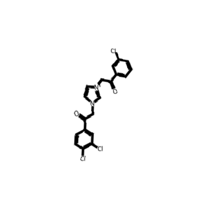 O=C(Cn1cc[n+](CC(=O)c2cccc(Cl)c2)c1)c1ccc(Cl)c(Cl)c1